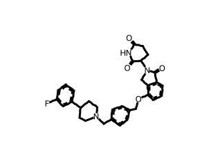 O=C1CCC(N2Cc3c(OCc4ccc(CN5CCC(c6cccc(F)c6)CC5)cc4)cccc3C2=O)C(=O)N1